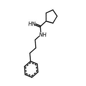 N=C(NCCCc1ccccc1)C1CCCC1